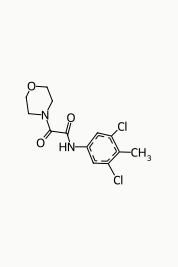 Cc1c(Cl)cc(NC(=O)C(=O)N2CCOCC2)cc1Cl